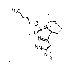 CCCCOC(=O)N1CCCC[C@H]1c1cc(N)[nH]n1